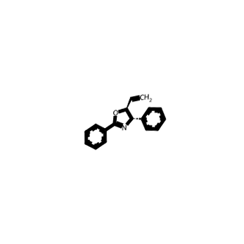 C=C[C@@H]1OC(c2ccccc2)=N[C@H]1c1ccccc1